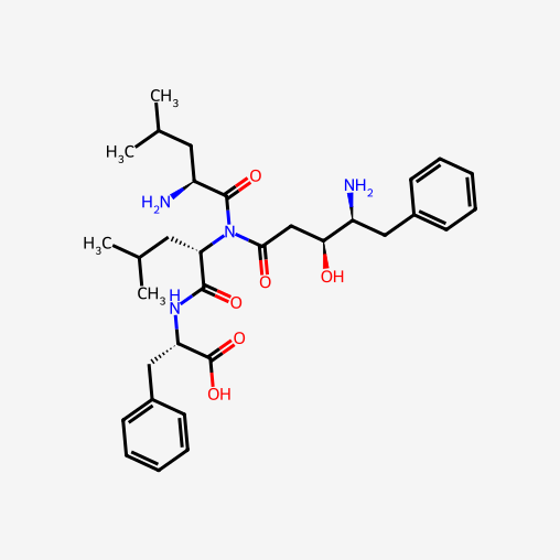 CC(C)C[C@H](N)C(=O)N(C(=O)C[C@H](O)[C@@H](N)Cc1ccccc1)[C@@H](CC(C)C)C(=O)N[C@@H](Cc1ccccc1)C(=O)O